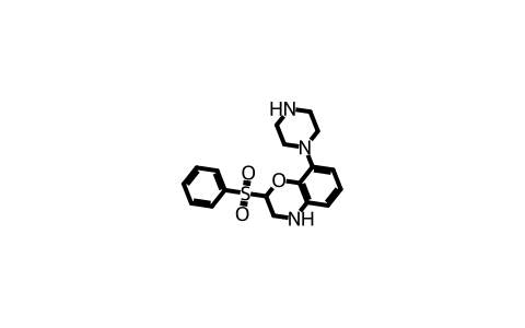 O=S(=O)(c1ccccc1)C1CNc2cccc(N3CCNCC3)c2O1